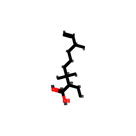 C=CC(C)CCCC(C)(C)C(CC)C(=O)O